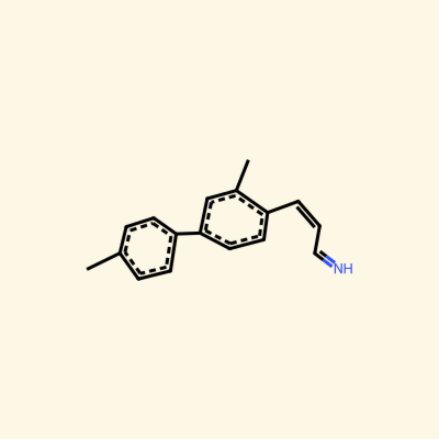 Cc1ccc(-c2ccc(/C=C\C=N)c(C)c2)cc1